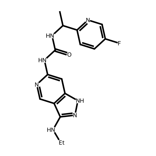 CCNc1n[nH]c2cc(NC(=O)NC(C)c3ccc(F)cn3)ncc12